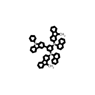 C=C1c2ccccc2-c2ccc(N(c3cc(-c4ccc5c(c4)c4ccccc4n5-c4ccccc4)cc(N(c4ccc5c(c4)C(=C)c4ccccc4-5)c4cccc5ccccc45)c3)c3cccc4ccccc34)cc21